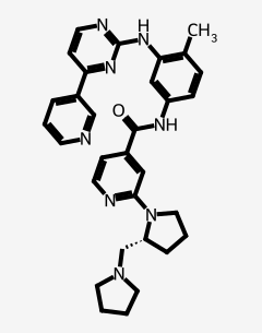 Cc1ccc(NC(=O)c2ccnc(N3CCC[C@@H]3CN3CCCC3)c2)cc1Nc1nccc(-c2cccnc2)n1